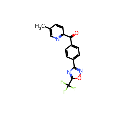 Cc1ccc(C(=O)c2ccc(-c3noc(C(F)(F)F)n3)cc2)nc1